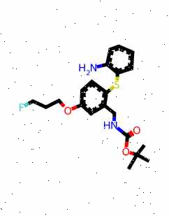 CC(C)(C)OC(=O)NCc1cc(OCCCF)ccc1Sc1ccccc1N